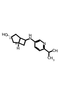 CC(C)c1ccc(NC2C[C@@H]3C[C@H](O)CC23)cn1